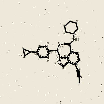 CC#Cc1ccc(C(=O)NC2CCCCC2)c2c1cnn2[C@H](C)c1ncc(C2CC2)cn1